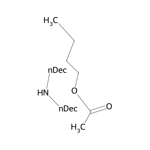 CCCCCCCCCCNCCCCCCCCCC.CCCCOC(C)=O